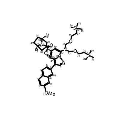 COc1ccc2ccc(-c3cnn4c(N(COCC[Si](C)(C)C)COCC[Si](C)(C)C)cc([C@@H]5C[C@H]6CC[C@@H](C5)N6C(=O)OC(C)(C)C)nc34)cc2c1